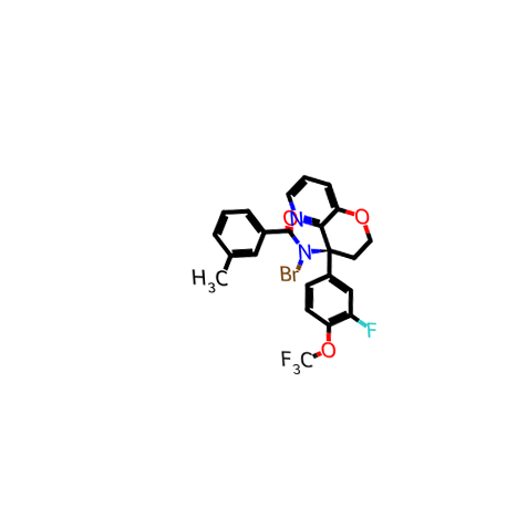 Cc1cccc(C(=O)N(Br)[C@]2(c3ccc(OC(F)(F)F)c(F)c3)CCOc3cccnc32)c1